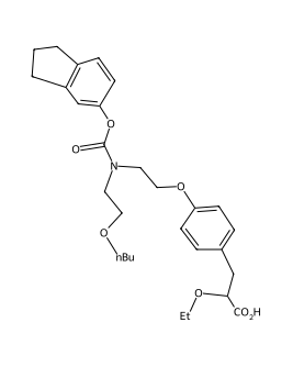 CCCCOCCN(CCOc1ccc(CC(OCC)C(=O)O)cc1)C(=O)Oc1ccc2c(c1)CCC2